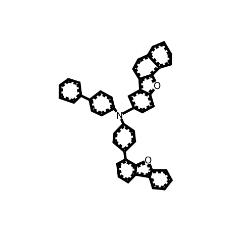 c1ccc(-c2ccc(N(c3ccc(-c4cccc5c4oc4ccccc45)cc3)c3ccc4oc5c6ccccc6ccc5c4c3)cc2)cc1